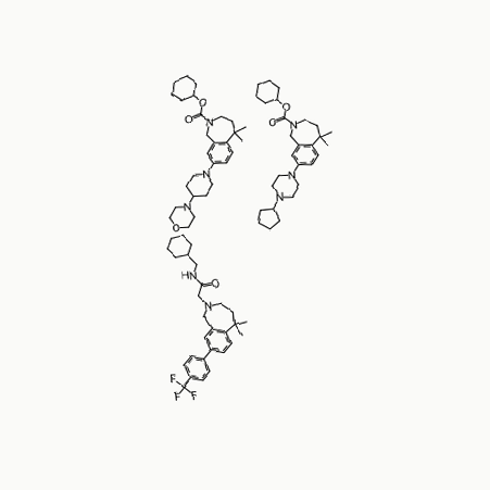 CC1(C)CCN(C(=O)OC2CCCCC2)Cc2cc(N3CCC(N4CCOCC4)CC3)ccc21.CC1(C)CCN(C(=O)OC2CCCCC2)Cc2cc(N3CCN(C4CCCC4)CC3)ccc21.CC1(C)CCN(CC(=O)NCC2CCCCC2)Cc2cc(-c3ccc(C(F)(F)F)cc3)ccc21